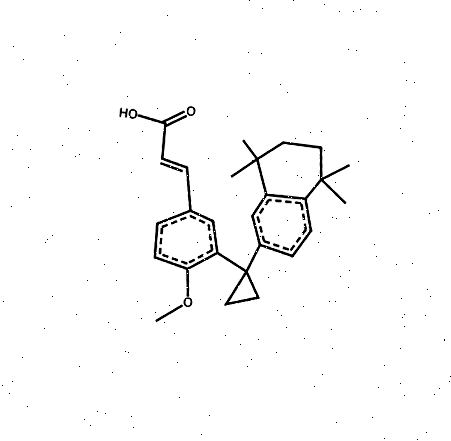 COc1ccc(C=CC(=O)O)cc1C1(c2ccc3c(c2)C(C)(C)CCC3(C)C)CC1